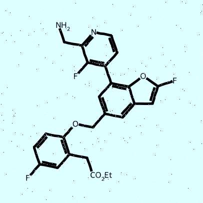 CCOC(=O)Cc1cc(F)ccc1OCc1cc(-c2ccnc(CN)c2F)c2oc(F)cc2c1